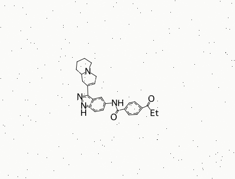 CCC(=O)c1ccc(C(=O)Nc2ccc3[nH]nc(C4=CCN5CCCCC5C4)c3c2)cc1